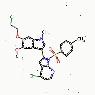 COc1cc2c(-c3cc4c(Cl)ccnc4n3S(=O)(=O)c3ccc(C)cc3)cn(C)c2cc1OCCCl